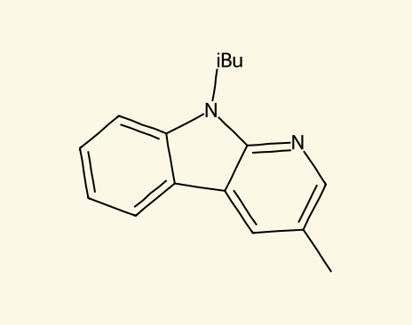 CCC(C)n1c2ccccc2c2cc(C)cnc21